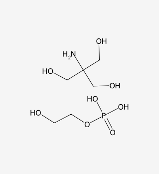 NC(CO)(CO)CO.O=P(O)(O)OCCO